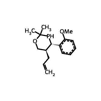 C=CC[C@H]1COC(C)(C)P[C@@H]1c1ccccc1OC